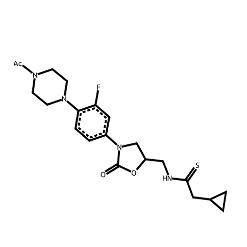 CC(=O)N1CCN(c2ccc(N3CC(CNC(=S)CC4CC4)OC3=O)cc2F)CC1